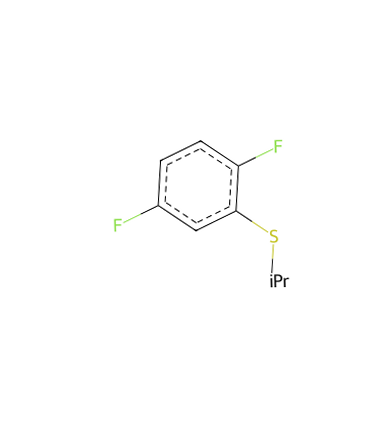 CC(C)Sc1cc(F)ccc1F